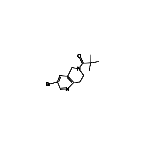 CC(C)(C)C(=O)N1CCc2ncc(Br)cc2C1